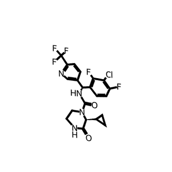 O=C1NCCN(C(=O)N[C@@H](c2ccc(C(F)(F)F)nc2)c2ccc(F)c(Cl)c2F)[C@H]1C1CC1